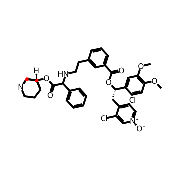 COc1ccc([C@H](Cc2c(Cl)c[n+]([O-])cc2Cl)OC(=O)c2cccc(CCNC(C(=O)O[C@H]3CN4CCC3CC4)c3ccccc3)c2)cc1OC